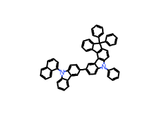 c1ccc(-n2c3ccc(-c4ccc5c(c4)c4ccccc4n5-c4cccc5ccccc45)cc3c3c4c(ccc32)C(c2ccccc2)(c2ccccc2)c2ccccc2-4)cc1